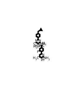 Cc1cc(-c2ccc(C(C)(C)Nc3nc(-c4ccc(CC5CC5)cc4)nc(C)c3C)cc2F)nc(N)c1C(C)C